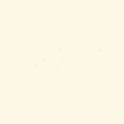 Cc1ccc(N(C)c2ccc3nc(N(c4ccccc4)c4cc(CNCC(O)CO)ccn4)sc3n2)cc1